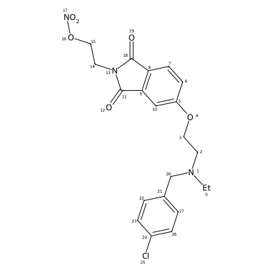 CCN(CCOc1ccc2c(c1)C(=O)N(CCO[N+](=O)[O-])C2=O)Cc1ccc(Cl)cc1